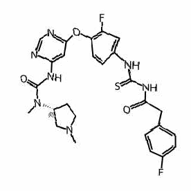 CN1CC[C@@H](N(C)C(=O)Nc2cc(Oc3ccc(NC(=S)NC(=O)Cc4ccc(F)cc4)cc3F)ncn2)C1